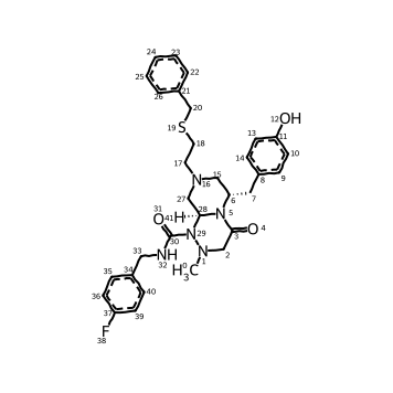 CN1CC(=O)N2[C@@H](Cc3ccc(O)cc3)CN(CCSCc3ccccc3)C[C@@H]2N1C(=O)NCc1ccc(F)cc1